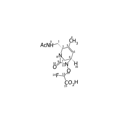 CC(=O)NC[C@@H]1C(C)=C[C@@H]2CN1C(=O)N2OC(F)C(=O)O